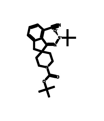 CC(C)(C)OC(=O)N1CCC2(CC1)Cc1cccc(C#N)c1C2=N[S@+]([O-])C(C)(C)C